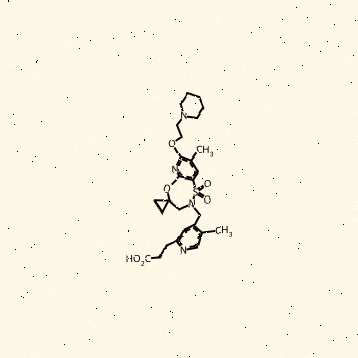 Cc1cnc(CCC(=O)O)cc1CN1CC2(CC2)Oc2nc(OCCN3CCCCC3)c(C)cc2S1(=O)=O